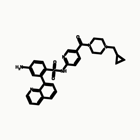 Nc1ccc(S(=O)(=O)Nc2ccc(C(=O)N3CCN(CC4CC4)CC3)cn2)c(-c2cccc3cccnc23)c1